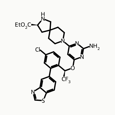 CCOC(=O)[C@@H]1CC2(CCN(c3cc(O[C@H](c4ccc(Cl)cc4-c4ccc5scnc5c4)C(F)(F)F)nc(N)n3)CC2)CN1